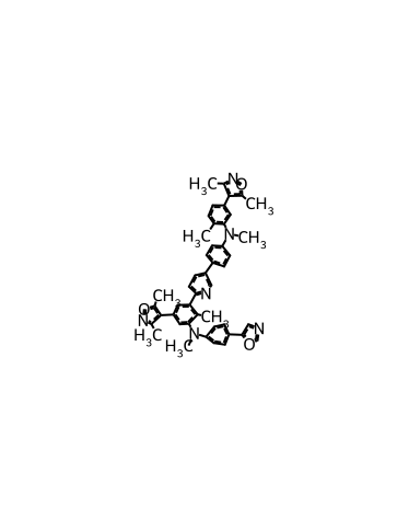 Cc1ccc(-c2c(C)noc2C)cc1N(C)c1ccc(-c2ccc(-c3cc(-c4c(C)noc4C)cc(N(C)c4ccc(-c5cnco5)cc4)c3C)nc2)cc1